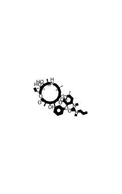 CCCN(C)C(=O)N(C)[C@H]1C[C@@H](C)O[C@@H](O[C@@H]2[C@@H](C)[C@H](O)[C@@H](C)C(=O)O[C@H](CC)[C@@](C)(O)[C@H](O)[C@@H](C)NC[C@H](C)C[C@@]2(C)O)[C@@H]1Oc1ccccc1